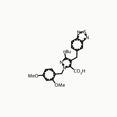 CCCCc1nn(Cc2ccc(OC)cc2OC)c(C(=O)O)c1Cc1ccc2nsnc2c1